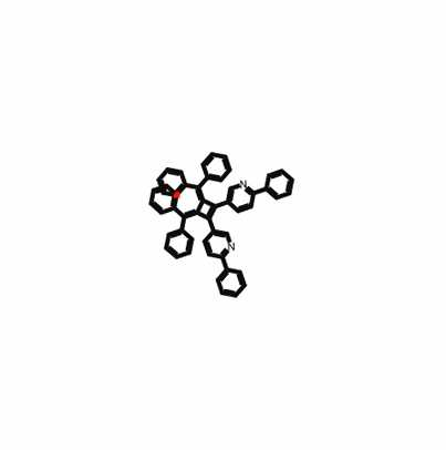 c1ccc(C(=C2C(=C(c3ccccc3)c3ccccc3)C(c3ccc(-c4ccccc4)nc3)=C2c2ccc(-c3ccccc3)nc2)c2ccccc2)cc1